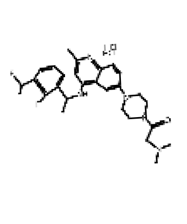 Cc1cc(NC(C)c2cccc(C(F)F)c2F)c2cc(N3CCN(C(=O)CN(C)C)CC3)ccc2n1.Cl.Cl